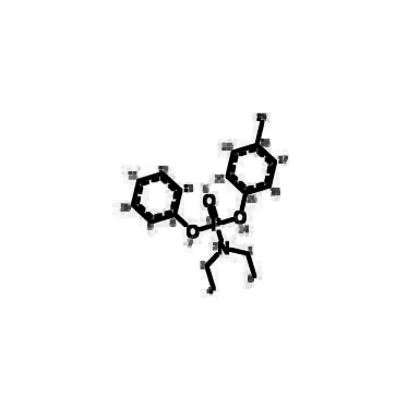 CCN(CC)P(=O)(Oc1ccccc1)Oc1ccc(C)cc1